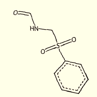 O=CNCS(=O)(=O)c1ccccc1